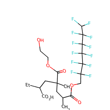 CCC(CC(C)(CC(C)C(=O)OCC(F)(F)C(F)(F)C(F)(F)C(F)(F)C(F)(F)C(F)F)C(=O)OCCO)C(=O)O